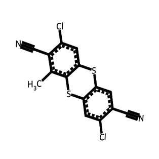 Cc1c(C#N)c(Cl)cc2c1Sc1cc(Cl)c(C#N)cc1S2